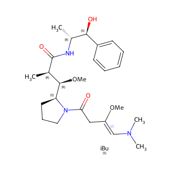 CC[C@H](C)/C(=C(\CC(=O)N1CCC[C@H]1[C@H](OC)[C@@H](C)C(=O)N[C@H](C)[C@@H](O)c1ccccc1)OC)N(C)C